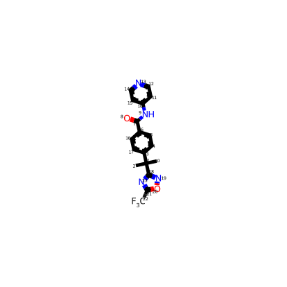 CC(C)(c1ccc(C(=O)Nc2ccncc2)cc1)c1noc(C(F)(F)F)n1